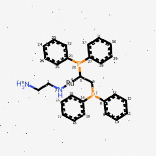 NCC[NH][Ru][CH](CP(c1ccccc1)c1ccccc1)P(c1ccccc1)c1ccccc1